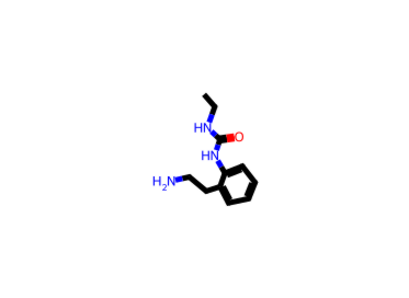 CCNC(=O)Nc1ccccc1CCN